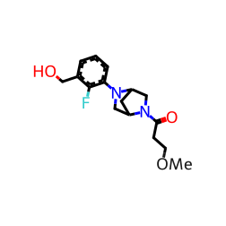 COCCC(=O)N1CC2CC1CN2c1cccc(CO)c1F